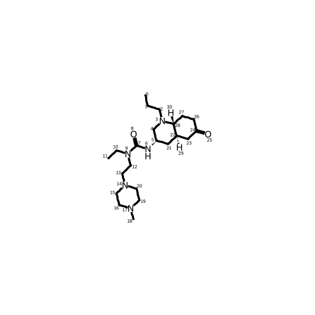 CCCN1C[C@@H](NC(=O)N(CC)CCN2CCN(C)CC2)C[C@@H]2CC(=O)CC[C@H]21